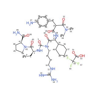 CC(C)C[C@H](NC(=O)N(CCCCNC(=N)N)C(=O)[C@@H](NC(=O)C(Cc1ccc(N)cc1)C(=O)N(C(C)C)C(C)C)C1CCCCC1)C(=O)N1CCC[C@H]1C(N)=O.O=C(O)C(F)(F)F